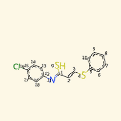 SC(C=CSc1ccccc1)=Nc1ccc(Cl)cc1